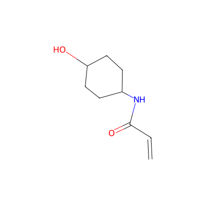 C=CC(=O)NC1CCC(O)CC1